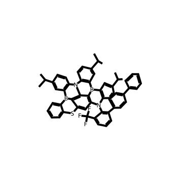 CC(C)c1ccc2c(c1)B1c3cc(C(C)C)ccc3N3c4ccc(C(C)C)cc4B4c5ccccc5Sc5cc(c1c3c54)N2c1c(-c2ccc(-c3ccccc3)cc2)cccc1C(F)(F)F